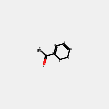 CC(C)C(=O)C1=CC=CCC1